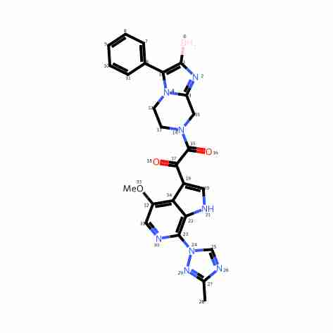 Bc1nc2n(c1-c1ccccc1)CCN(C(=O)C(=O)c1c[nH]c3c(-n4cnc(C)n4)ncc(OC)c13)C2